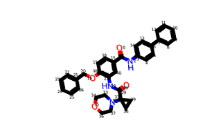 O=C(Nc1ccc(-c2ccccc2)cc1)c1ccc(OCc2ccccc2)c(NC(=O)C2(N3CCOCC3)CC2)c1